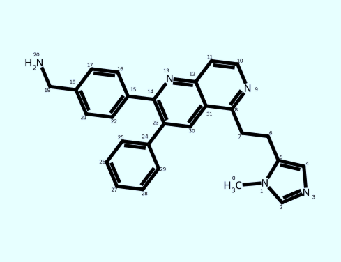 Cn1cncc1CCc1nccc2nc(-c3ccc(CN)cc3)c(-c3ccccc3)cc12